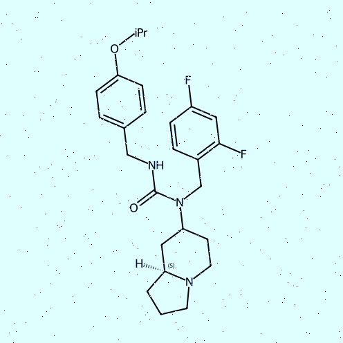 CC(C)Oc1ccc(CNC(=O)N(Cc2ccc(F)cc2F)C2CCN3CCC[C@H]3C2)cc1